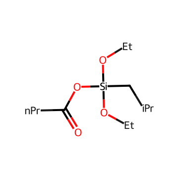 CCCC(=O)O[Si](CC(C)C)(OCC)OCC